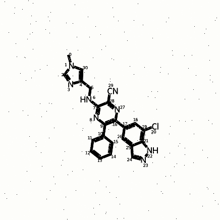 Cn1cnc(CNc2nc(-c3ccccc3)c(-c3cc(Cl)c4[nH]ncc4c3)nc2C#N)c1